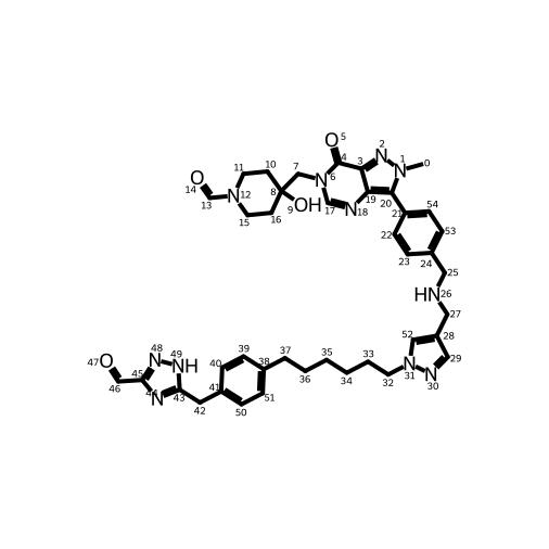 Cn1nc2c(=O)n(CC3(O)CCN(C=O)CC3)cnc2c1-c1ccc(CNCc2cnn(CCCCCCc3ccc(Cc4nc(C=O)n[nH]4)cc3)c2)cc1